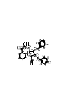 COC(=O)C1CCCCC1.[2H]C1OC(C#N)C(OCc2ccccc2)C1OCc1ccccc1